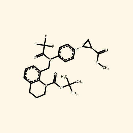 COC(=O)[C@@H]1C[C@H]1c1ccc(N(Cc2cccc3c2N(C(=O)OC(C)(C)C)CCC3)C(=O)C(F)(F)F)cc1